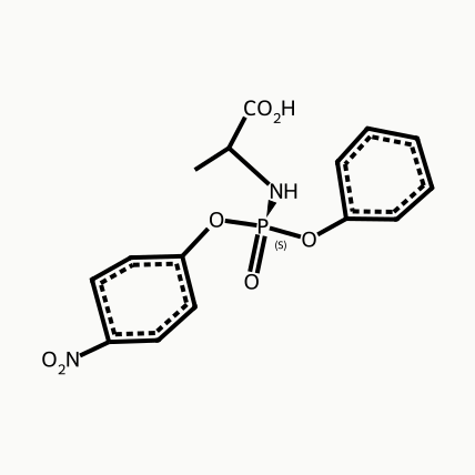 CC(N[P@](=O)(Oc1ccccc1)Oc1ccc([N+](=O)[O-])cc1)C(=O)O